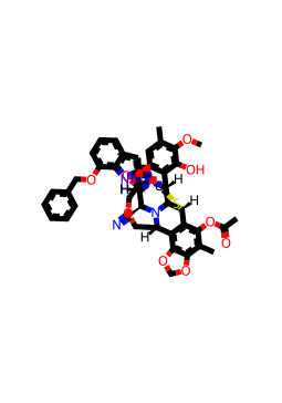 COc1c(C)cc2c(c1O)[C@@H]1C3[C@@H]4SC[C@]5(NCCc6c5[nH]c5c(OCc7ccccc7)cccc65)C(=O)COC[C@@H](c5c6c(c(C)c(OC(C)=O)c54)OCO6)N3[C@@H](C#N)[C@H](C2)N1C